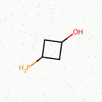 OC1CC(P)C1